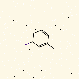 CC1=CC(I)CC=C1